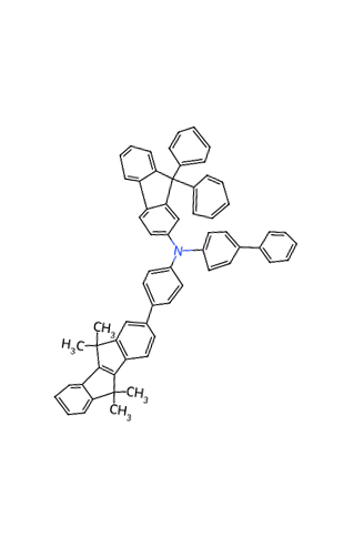 CC1(C)C2=C(c3ccccc31)C(C)(C)c1cc(-c3ccc(N(c4ccc(-c5ccccc5)cc4)c4ccc5c(c4)C(c4ccccc4)(c4ccccc4)c4ccccc4-5)cc3)ccc12